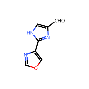 O=Cc1c[nH]c(-c2cocn2)n1